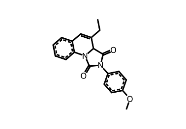 CCC1=Cc2ccccc2N2C(=O)N(c3ccc(OC)cc3)C(=O)C12